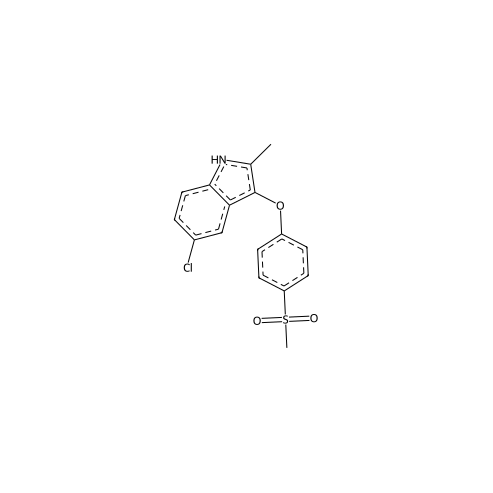 Cc1[nH]c2ccc(Cl)cc2c1Oc1ccc(S(C)(=O)=O)cc1